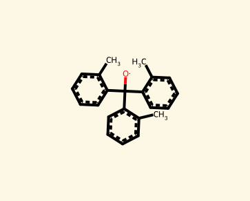 Cc1ccccc1C([O])(c1ccccc1C)c1ccccc1C